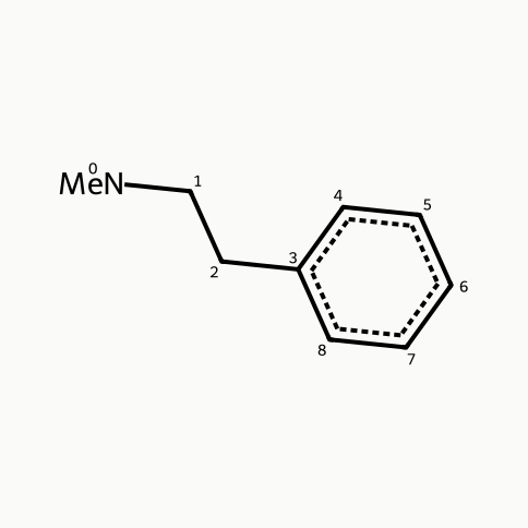 [CH2-][NH2+]CCc1ccccc1